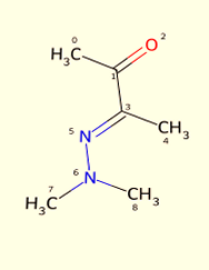 CC(=O)C(C)=NN(C)C